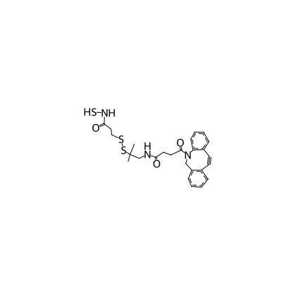 CC(C)(CNC(=O)CCC(=O)N1Cc2ccccc2C#Cc2ccccc21)SSCCC(=O)NS